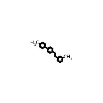 Cc1ccc(-c2ccc(CCc3cccc(C)c3)cc2)cc1